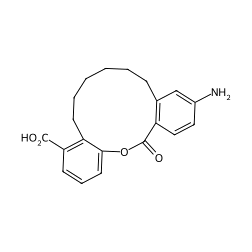 Nc1ccc2c(c1)CCCCCCc1c(cccc1C(=O)O)OC2=O